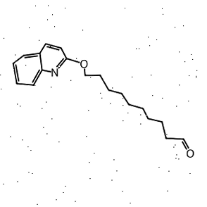 O=CCCCCCCCCCOc1ccc2ccccc2n1